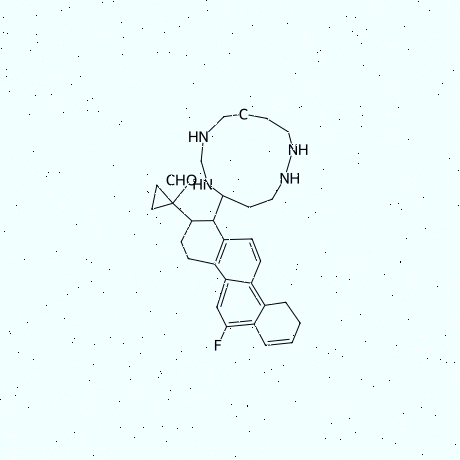 O=CC1(C2CCc3c(ccc4c5c(c(F)cc34)C=CCC5)C2C2CCNNCCCCNCN2)CC1